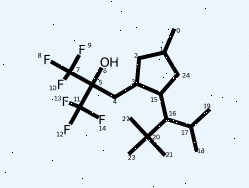 CC1CC(CC(O)(C(F)(F)F)C(F)(F)F)C(C(C(C)C)C(C)(C)C)C1